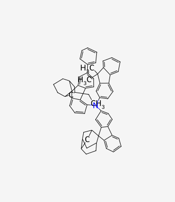 CCC1CC2CCCC(C1)C21c2cc(-c3ccccc3)ccc2-c2c(N(c3ccc4c(c3)C(C)(C)c3ccccc3-4)c3ccc4c(c3)C3(c5ccccc5-4)C4CCC5CC3CC5C4)cccc21